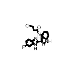 O=C(CCCl)Nc1cccc2[nH]nc(-c3nc4ccc(F)cc4[nH]3)c12